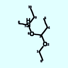 CCOC(CC)O[SiH](C)CC